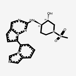 CS(=O)(=O)N1CC[C@@H](Nc2ncc3ccc(-c4cccc5cncn45)n3n2)[C@H](O)C1